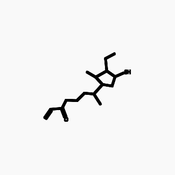 C=CC(=O)CCCC(C)C1CC(S)C(CC)C1C